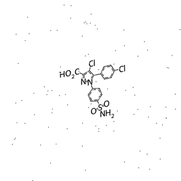 NS(=O)(=O)c1ccc(-n2nc(C(=O)O)c(Cl)c2-c2ccc(Cl)cc2)cc1